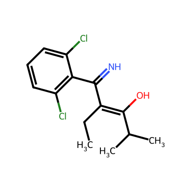 CC/C(C(=N)c1c(Cl)cccc1Cl)=C(/O)C(C)C